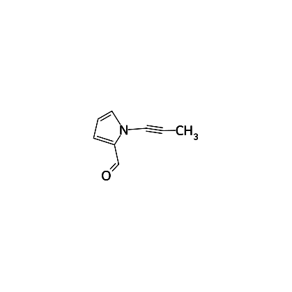 CC#Cn1cccc1C=O